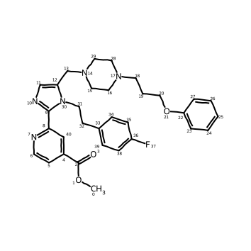 COC(=O)c1ccnc(-c2ncc(CN3CCN(CCCOc4ccccc4)CC3)n2CCc2ccc(F)cc2)c1